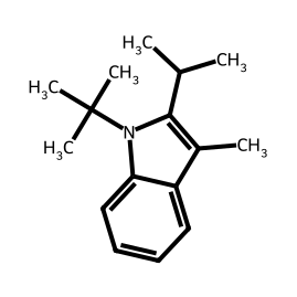 Cc1c(C(C)C)n(C(C)(C)C)c2ccccc12